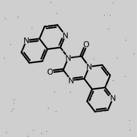 O=c1nc2c3cccnc3ccn2c(=O)n1-c1nccc2ncccc12